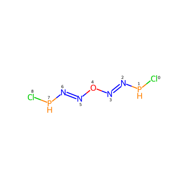 ClPN=NON=NPCl